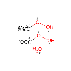 O.O=C([O-])OO.O=C([O-])OO.[Mg+2]